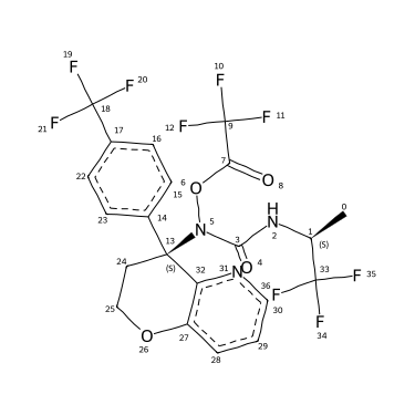 C[C@H](NC(=O)N(OC(=O)C(F)(F)F)[C@]1(c2ccc(C(F)(F)F)cc2)CCOc2cccnc21)C(F)(F)F